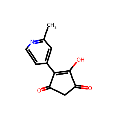 Cc1cc(C2=C(O)C(=O)CC2=O)ccn1